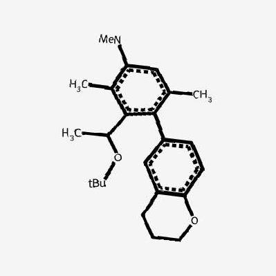 CNc1cc(C)c(-c2ccc3c(c2)CCCO3)c(C(C)OC(C)(C)C)c1C